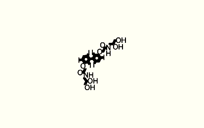 O=C(COc1c(I)cc(I)c(-c2c(I)cc(I)c(OCC(=O)NCC(O)CO)c2I)c1I)NCC(O)CO